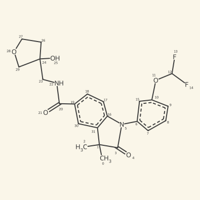 CC1(C)C(=O)N(c2cccc(OC(F)F)c2)c2ccc(C(=O)NCC3(O)CCOC3)cc21